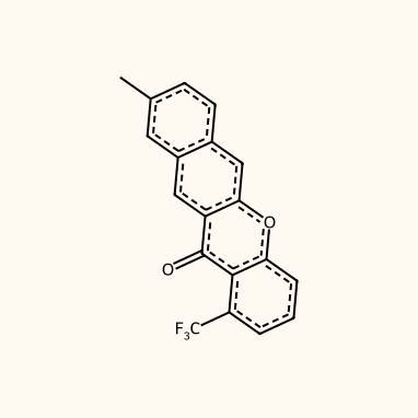 Cc1ccc2cc3oc4cccc(C(F)(F)F)c4c(=O)c3cc2c1